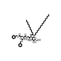 CCCCCCCCCCCCCCCCCCN(C(=O)CCCCCCCCCCC)[C@@H]1O[C@H](CO)[C@@H](O)[C@H](O)[C@H]1NC(=O)CNC(=O)[C@H](CCC(=O)OCc1ccccc1)NC(=O)OCc1ccccc1